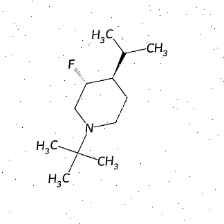 CC(C)[C@H]1CCN(C(C)(C)C)C[C@@H]1F